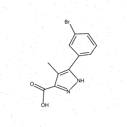 Cc1c(C(=O)O)n[nH]c1-c1cccc(Br)c1